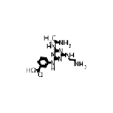 C=C(N)Nc1nc(NCCN)nc(Nc2cccc(C(=O)O)c2)n1